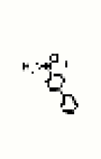 CN(N)c1ccc(-c2ccccc2)cc1